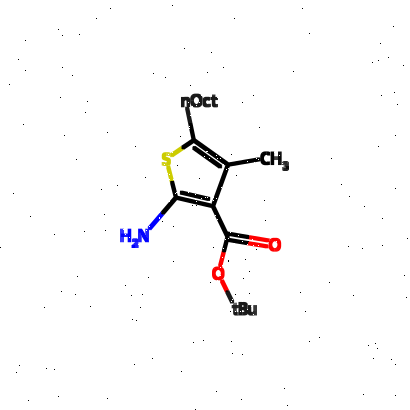 CCCCCCCCc1sc(N)c(C(=O)OC(C)(C)C)c1C